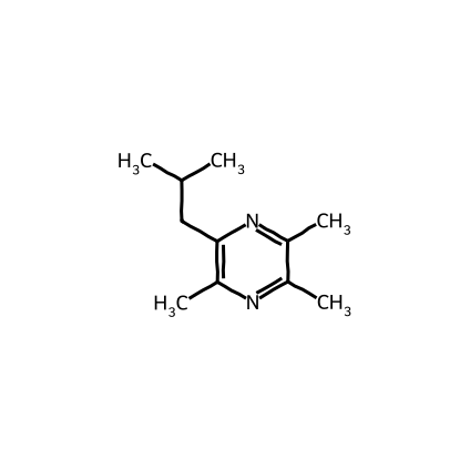 Cc1nc(C)c(CC(C)C)nc1C